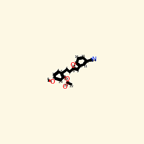 COc1ccc(CCc2cc3cc(C#N)ccc3o2)c(OC(C)=O)c1